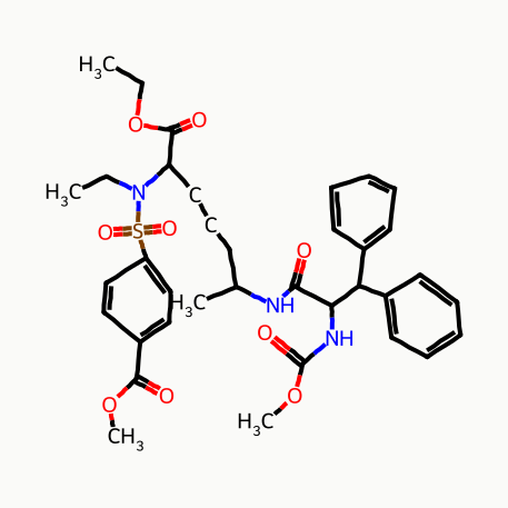 CCOC(=O)C(CCCC(C)NC(=O)C(NC(=O)OC)C(c1ccccc1)c1ccccc1)N(CC)S(=O)(=O)c1ccc(C(=O)OC)cc1